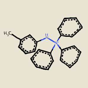 Cc1cccc(N[N+](c2ccccc2)(c2ccccc2)c2ccccc2)c1